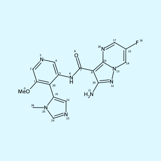 COc1cncc(NC(=O)c2c(N)nn3cc(F)cnc23)c1-c1cncn1C